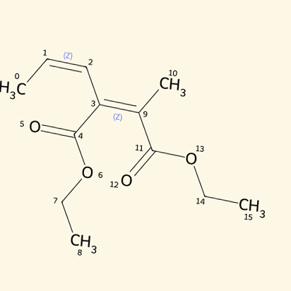 C/C=C\C(C(=O)OCC)=C(/C)C(=O)OCC